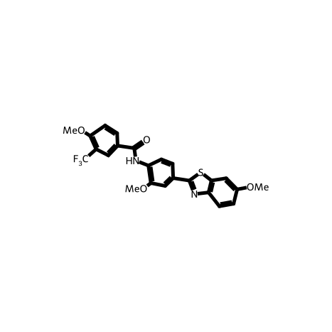 COc1ccc2nc(-c3ccc(NC(=O)c4ccc(OC)c(C(F)(F)F)c4)c(OC)c3)sc2c1